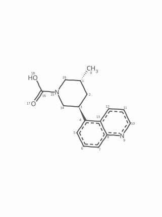 C[C@@H]1C[C@@H](c2cccc3ncccc23)CN(C(=O)O)C1